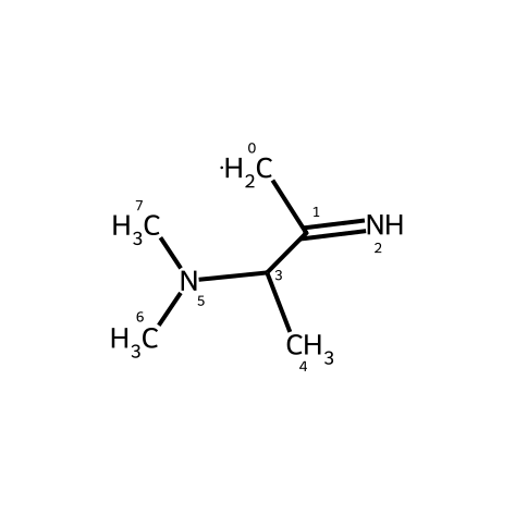 [CH2]C(=N)C(C)N(C)C